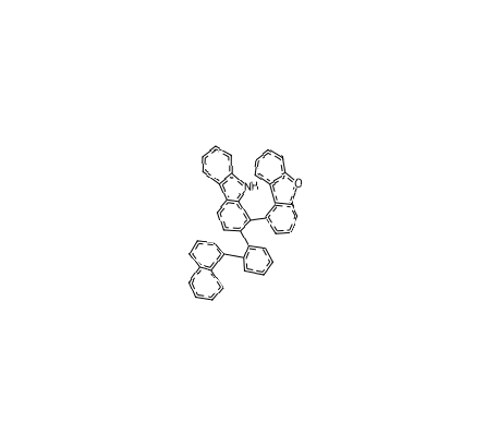 c1ccc(-c2cccc3ccccc23)c(-c2ccc3c([nH]c4ccccc43)c2-c2cccc3oc4ccccc4c23)c1